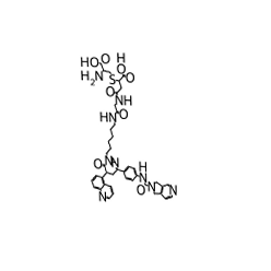 NC(CSC(CC(=O)NCC(=O)NCCCCCCN1N=C(c2ccc(NC(=O)N3Cc4ccncc4C3)cc2)CC(c2cccc3ncccc23)C1=O)C(=O)O)C(=O)O